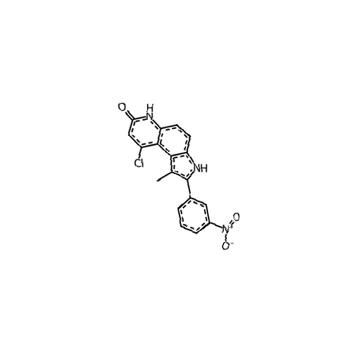 Cc1c(-c2cccc([N+](=O)[O-])c2)[nH]c2ccc3[nH]c(=O)cc(Cl)c3c12